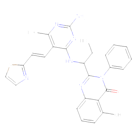 CCC(Nc1nc(N)nc(C)c1/C=C/c1nccs1)c1nc2cccc(C)c2c(=O)n1-c1ccccc1